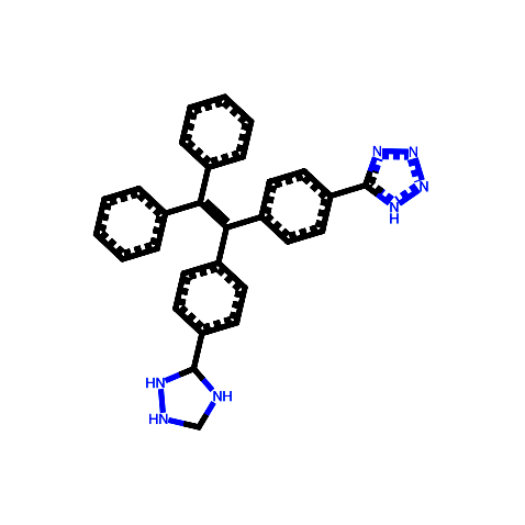 c1ccc(C(=C(c2ccc(-c3nnn[nH]3)cc2)c2ccc(C3NCNN3)cc2)c2ccccc2)cc1